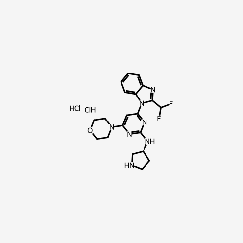 Cl.Cl.FC(F)c1nc2ccccc2n1-c1cc(N2CCOCC2)nc(N[C@H]2CCNC2)n1